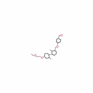 CCOCCOc1ccc(-c2cccc(COc3ccc(C=O)cc3)c2C)c(C)c1